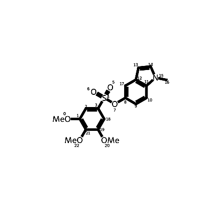 COc1cc(S(=O)(=O)Oc2ccc3c(ccn3C)c2)cc(OC)c1OC